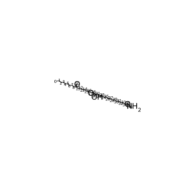 CCCCCCCCCC(=O)CCCCCCOCC(O)CCCCCCCCCCCCCCON